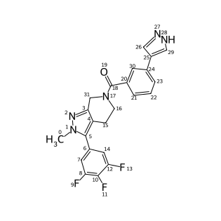 Cn1nc2c(c1-c1cc(F)c(F)c(F)c1)CCN(C(=O)c1cccc(-c3cn[nH]c3)c1)C2